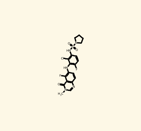 Cn1cnc2ccc(Nc3c(F)ccc(NS(=O)(=O)N4CCCC4)c3Cl)c(F)c2c1=O